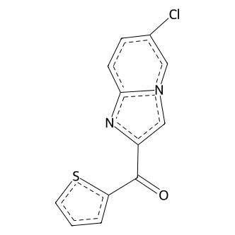 O=C(c1cn2cc(Cl)ccc2n1)c1cccs1